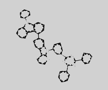 c1ccc(-c2nc(-c3ccccc3)nc(-c3cccc(-n4c5cc(-c6cccc7c6c6ccccc6n7-c6ccccc6)ccc5c5cccnc54)c3)n2)cc1